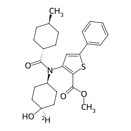 [2H][C@]1(O)CC[C@@H](N(c2cc(-c3ccccc3)sc2C(=O)OC)C(=O)[C@H]2CC[C@H](C)CC2)CC1